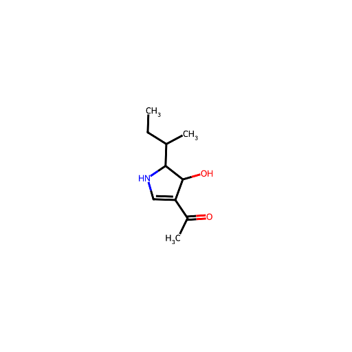 CCC(C)C1NC=C(C(C)=O)C1O